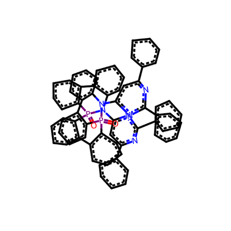 O=P1(c2ccccc2-c2ccccc2P2(=O)c3ccccc3-c3ccccc3N2c2cc(-c3ccccc3)nc(-c3ccccc3)n2)c2ccccc2-c2ccccc2N1c1cc(-c2ccccc2)nc(-c2ccccc2)n1